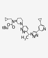 CC(c1ccc(N2CCC[C@@H](N(CC3CC3)C(=O)OC(C)(C)C)C2)nn1)n1cc(-c2cncc(C3CC3)c2)nn1